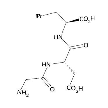 CC(C)C[C@H](NC(=O)[C@H](CC(=O)O)NC(=O)CN)C(=O)O